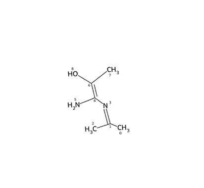 CC(C)=N/C(N)=C(\C)O